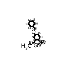 COC(=O)c1cc(OCc2ccccc2)ccc1[N+](=O)[O-]